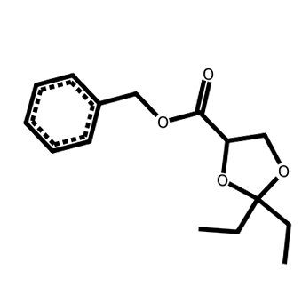 CCC1(CC)OCC(C(=O)OCc2ccccc2)O1